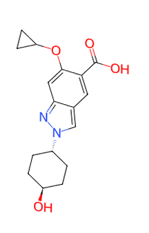 O=C(O)c1cc2cn([C@H]3CC[C@H](O)CC3)nc2cc1OC1CC1